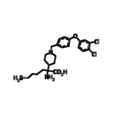 BCCCCC(N)(C(=O)O)C1CCN(Cc2ccc(Oc3ccc(Cl)c(Cl)c3)cc2)CC1